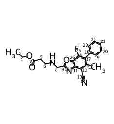 CCOC(=O)CCNCc1nc2c(C#N)c(C)c(-c3ccccc3)c(F)c2o1